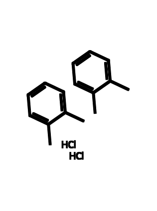 Cc1ccccc1C.Cc1ccccc1C.Cl.Cl